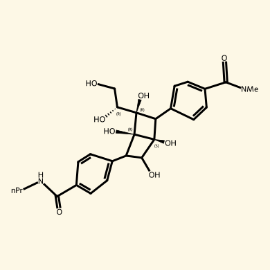 CCCNC(=O)c1ccc(C2C(O)[C@@]3(O)C(c4ccc(C(=O)NC)cc4)[C@@](O)([C@H](O)CO)[C@@]23O)cc1